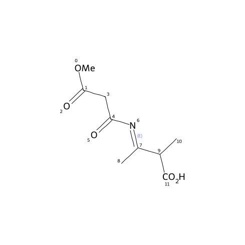 COC(=O)CC(=O)/N=C(\C)C(C)C(=O)O